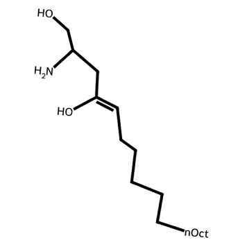 CCCCCCCCCCCCCC=C(O)CC(N)CO